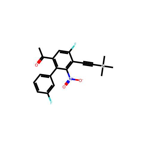 CC(=O)c1cc(F)c(C#C[Si](C)(C)C)c([N+](=O)[O-])c1-c1cccc(F)c1